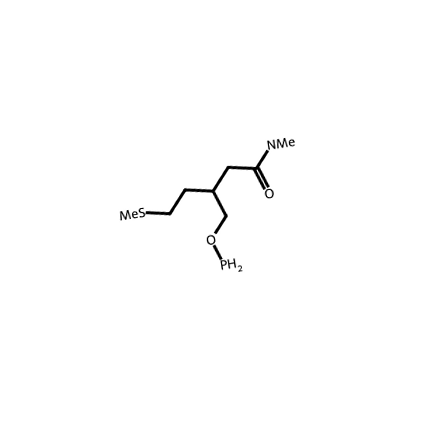 CNC(=O)CC(CCSC)COP